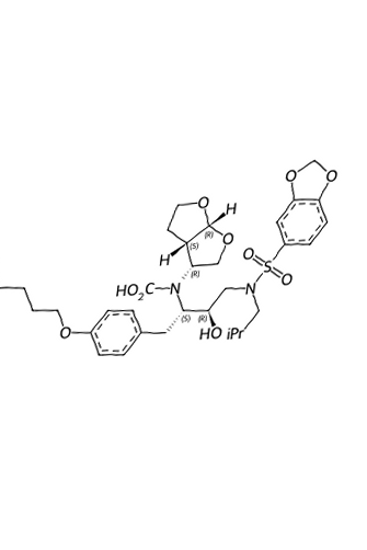 CC(C)CN(C[C@@H](O)[C@H](Cc1ccc(OCCCCO)cc1)N(C(=O)O)[C@H]1CO[C@H]2OCC[C@H]21)S(=O)(=O)c1ccc2c(c1)OCO2